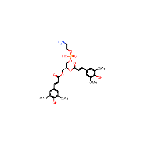 COc1cc(/C=C/C(=O)OC[C@H](COP(=O)(O)OCCN)OC(=O)/C=C/c2cc(OC)c(O)c(OC)c2)cc(OC)c1O